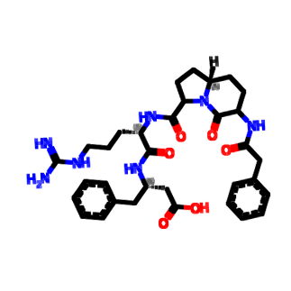 N=C(N)NCCC[C@H](NC(=O)C1CC[C@@H]2CCC(NC(=O)Cc3ccccc3)C(=O)N12)C(=O)N[C@H](CC(=O)O)Cc1ccccc1